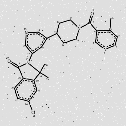 Cc1ccncc1C(=O)N1CCC(c2cncc(N3C(=O)c4ccc(Cl)cc4C3(C)C)c2)CC1